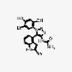 CCc1cc(-n2nnc(NC(N)=O)c2-c2cccc3[nH]c(C(C)C)cc23)c(O)cc1O